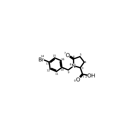 O=C(O)C1CCC(=O)N1Cc1ccc(Br)cc1